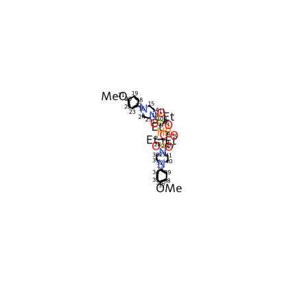 CCC(CC)(O[PH](=O)OC(CC)(CC)S(=O)(=O)N1CCN(c2ccc(OC)cc2)CC1)S(=O)(=O)N1CCN(c2ccc(OC)cc2)CC1